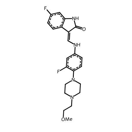 COCCN1CCN(c2ccc(NC=C3C(=O)Nc4cc(F)ccc43)cc2F)CC1